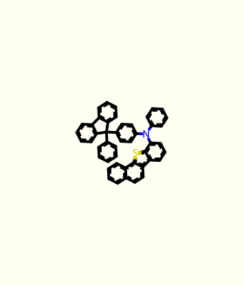 c1ccc(N(c2ccc(C3(c4ccccc4)c4ccccc4-c4ccccc43)cc2)c2cccc3c2sc2c4ccccc4ccc32)cc1